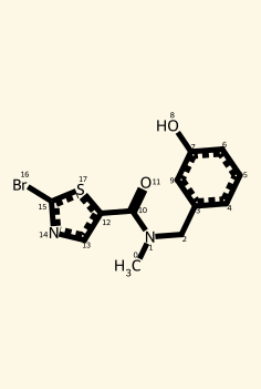 CN(Cc1cccc(O)c1)C(=O)c1cnc(Br)s1